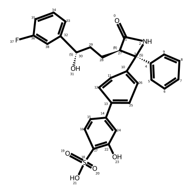 O=C1N[C@@](c2ccccc2)(c2ccc(-c3ccc(S(=O)(=O)O)c(O)c3)cc2)[C@H]1CC[C@H](O)c1cccc(F)c1